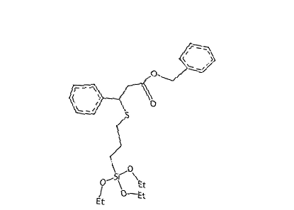 CCO[Si](CCCSC(CC(=O)OCc1ccccc1)c1ccccc1)(OCC)OCC